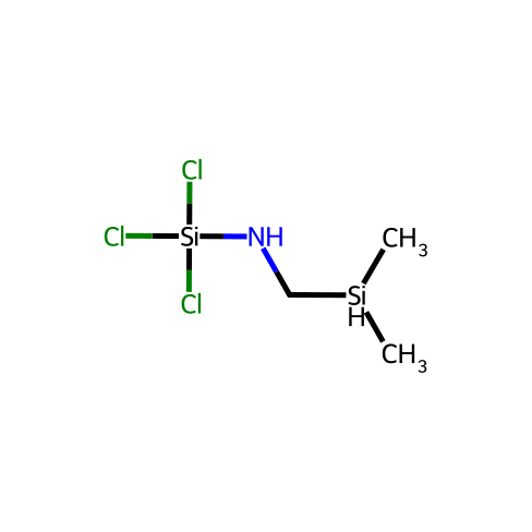 C[SiH](C)CN[Si](Cl)(Cl)Cl